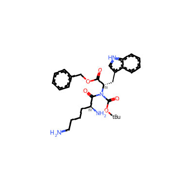 CC(C)(C)OC(=O)N(C(=O)[C@@H](N)CCCCN)[C@@H](Cc1c[nH]c2ccccc12)C(=O)OCc1ccccc1